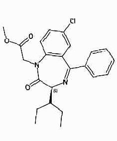 CCC(CC)[C@@H]1N=C(c2ccccc2)c2cc(Cl)ccc2N(CC(=O)OC)C1=O